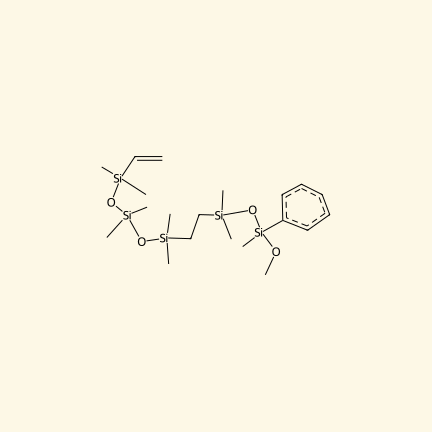 C=C[Si](C)(C)O[Si](C)(C)O[Si](C)(C)CC[Si](C)(C)O[Si](C)(OC)c1ccccc1